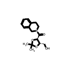 CC1(C)O[C@@H](CO)[C@H](C(=O)N2CCc3ccccc3C2)O1